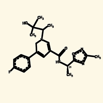 Cc1noc([C@@H](C)NC(=O)C2=CN(C(C)C(C)(C)O)CC(c3ccc(F)cc3)=C2)n1